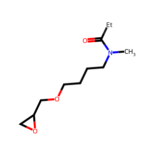 CCC(=O)N(C)CCCCOCC1CO1